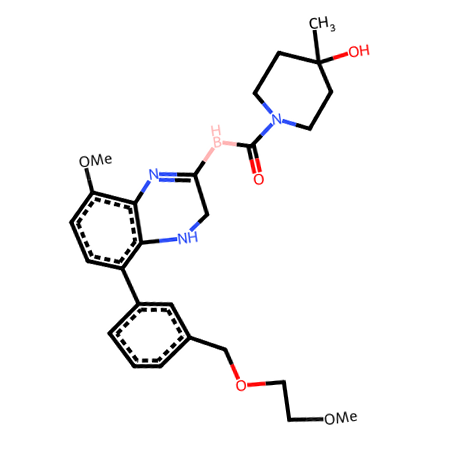 COCCOCc1cccc(-c2ccc(OC)c3c2NCC(BC(=O)N2CCC(C)(O)CC2)=N3)c1